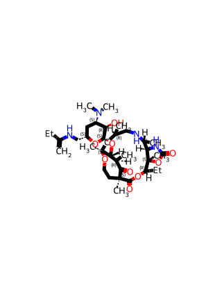 C=C(CC)NC[C@@H]1C[C@H](N(C)C)[C@@H](O)[C@H](O[C@@H]2[C@@H](C)C(=O)[C@]3(C)CCO[C@@]2(C)C[C@@H](C)CN[C@H](C)[C@H]2NC(=O)O[C@]2(C)[C@@H](CC)OC3=O)O1